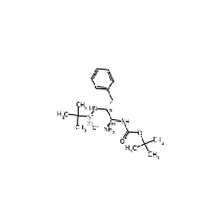 CC(C)(C)OC(=O)N[C@@H](N)[C@@H](Cc1ccccc1)N[S@+]([O-])C(C)(C)C